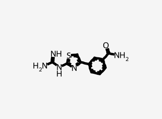 N=C(N)Nc1nc(-c2cccc(C(N)=O)c2)cs1